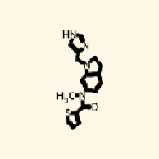 CN(C(=O)c1cccs1)c1ccc2c(c1)N(Cc1c[nH]cn1)CC2